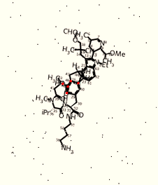 CCn1c(C2CC(C)C=NC2[C@H](C)OC)c(CC(C)(C)COC=O)c2cc(-c3cc(O)cc(C[C@H](NC(=O)[C@H](C(C)C)N(C)C(=O)CN(C)C(=O)[C@H]4C[C@@H]5N[C@@H]5C4)C(=O)NCCCCN)c3)ccc21